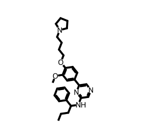 CCCC(Nc1cncc(-c2ccc(OCCCCN3CCCC3)c(OC)c2)n1)c1ccccc1